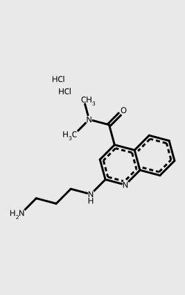 CN(C)C(=O)c1cc(NCCCN)nc2ccccc12.Cl.Cl